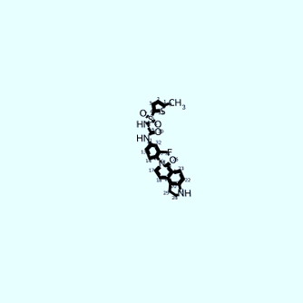 Cc1ccc(S(=O)(=O)NC(=O)Nc2ccc(-n3ccc4c5c(ccc4c3=O)NCC5)c(F)c2)s1